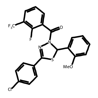 COc1ccccc1C1SC(c2ccc(Cl)cc2)=NN1C(=O)c1cccc(C(F)(F)F)c1F